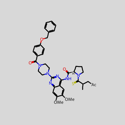 COc1cc2nc(N3CCN(C(=O)c4ccc(OCc5ccccc5)cc4)CC3)nc(NC(=O)[C@H]3CCCN3C(=S)C(C)CC(C)=O)c2cc1OC